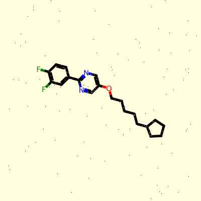 Fc1ccc(-c2ncc(OCCCCCC3CCCC3)cn2)cc1F